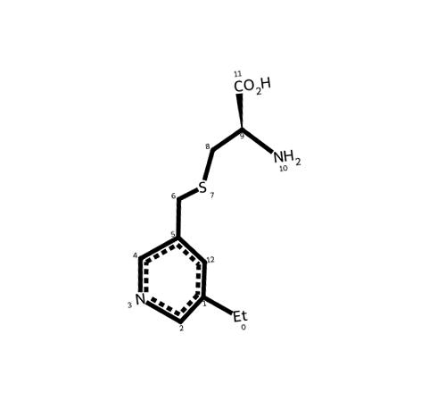 CCc1cncc(CSC[C@H](N)C(=O)O)c1